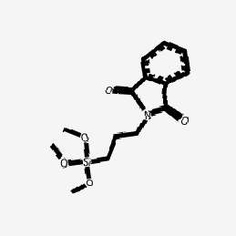 CO[Si](CCCN1C(=O)c2ccccc2C1=O)(OC)OC